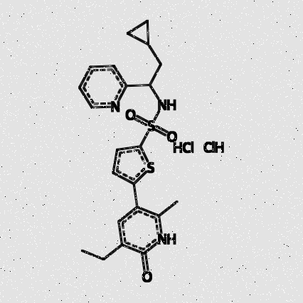 CCc1cc(-c2ccc(S(=O)(=O)NC(CC3CC3)c3ccccn3)s2)c(C)[nH]c1=O.Cl.Cl